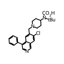 CC(C)(C)N(C(=O)O)C1CCN(Cc2cc3c(-c4ccccc4)cncc3cc2Cl)CC1